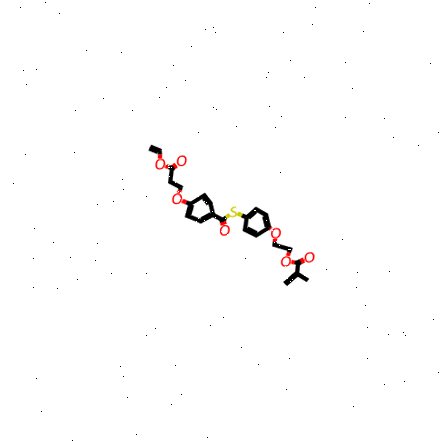 C=COC(=O)CCOc1ccc(C(=O)Sc2ccc(OCCOC(=O)C(=C)C)cc2)cc1